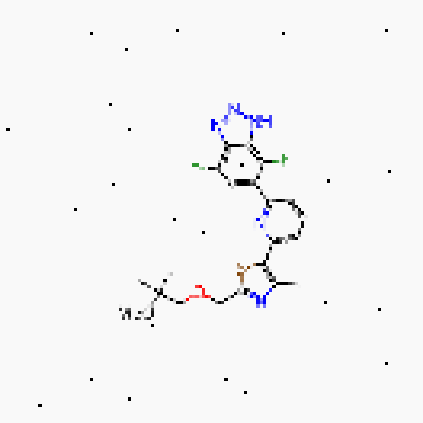 COC(C)(C)COCc1nc(C)c(-c2cccc(-c3cc(F)c4nn[nH]c4c3F)n2)s1